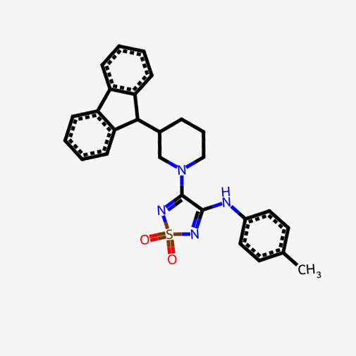 Cc1ccc(NC2=NS(=O)(=O)N=C2N2CCCC(C3c4ccccc4-c4ccccc43)C2)cc1